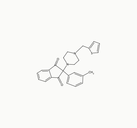 Cc1cccc(C2(N3CCN(Cc4cccs4)CC3)C(=O)c3ccccc3C2=O)c1